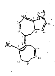 CC(=O)C1=C(C2C=CN=C3NC=CC32)C=CCC1